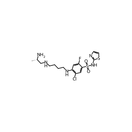 C[C@H](N)CNCCCCNc1cc(F)c(S(=O)(=O)Nc2nccs2)cc1Cl